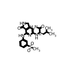 CC(C)C[C@@H](Nc1cc2c(c(Nc3cccc(S(C)(=O)=O)c3)n1)C(=O)NC2)C(N)=O